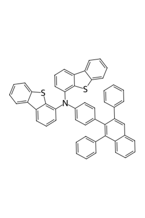 c1ccc(-c2cc3ccccc3c(-c3ccccc3)c2-c2ccc(N(c3cccc4c3sc3ccccc34)c3cccc4c3sc3ccccc34)cc2)cc1